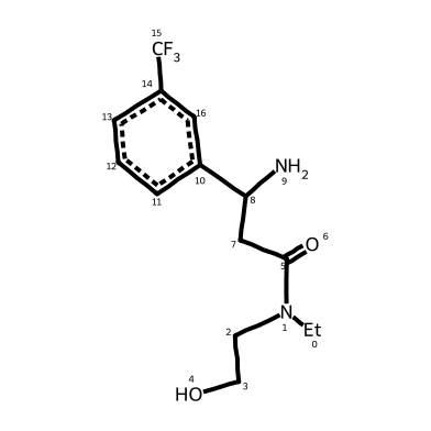 CCN(CCO)C(=O)CC(N)c1cccc(C(F)(F)F)c1